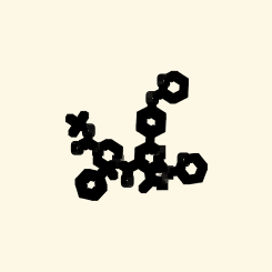 Cc1nn(C2CCCCO2)c2nc(-c3ccc(OC4CCCCO4)cc3)cc(C(=O)N3CCN(C(=O)OC(C)(C)C)CC3(C)c3ccccc3)c12